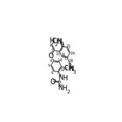 C/C=C(/Oc1ccc(NC(N)=O)c(C)c1)c1cc(C#N)ccc1N